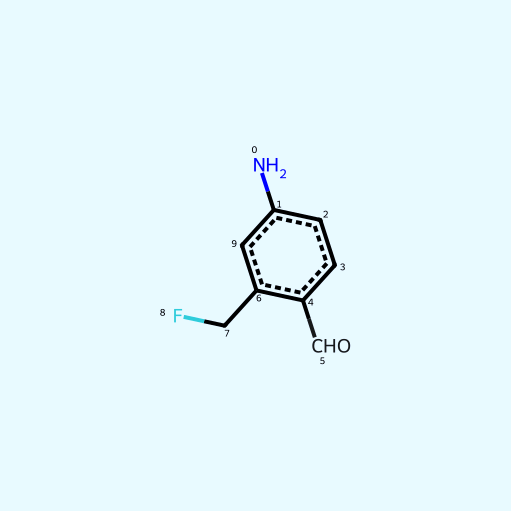 Nc1ccc(C=O)c(CF)c1